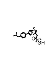 CC(C)Cc1ccc(-c2cc3scc(CC(=O)[N+](C)(C)O)n3c2)cc1